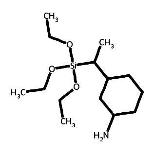 CCO[Si](OCC)(OCC)C(C)C1CCCC(N)C1